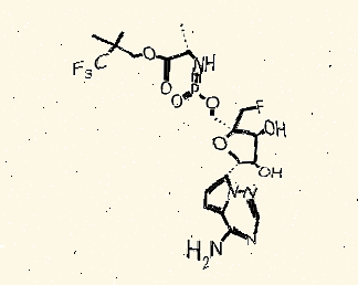 C[C@H](N[PH](=O)OC[C@@]1(CF)O[C@@H](c2ccc3c(N)ncnn23)[C@H](O)[C@@H]1O)C(=O)OCC(C)(C)C(F)(F)F